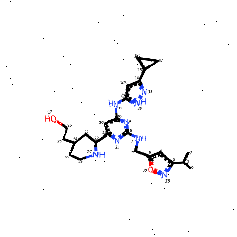 CC(C)c1cc(CNc2nc(Nc3cc(C4CC4)n[nH]3)cc(C3CC(CCO)CCN3)n2)on1